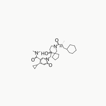 C[C@H](CC1CCCCC1)C(=O)N1CC[C@@](O)(Cn2cc(C(=O)N(C)C)c(C3CC3)cc2=O)C2(CCCC2)C1